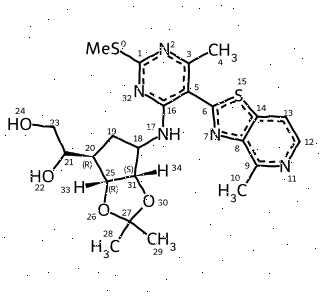 CSc1nc(C)c(-c2nc3c(C)nccc3s2)c(NC2C[C@H](C(O)CO)[C@H]3OC(C)(C)O[C@@H]23)n1